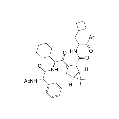 CC(=O)N[C@H](C(=O)N[C@H](C(=O)N1C[C@H]2[C@@H]([C@H]1C(=O)NC(CC1CCC1)C(=O)C(C)=O)C2(C)C)C1CCCCC1)c1ccccc1